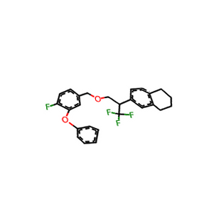 Fc1ccc(COCC(c2ccc3c(c2)CCCC3)C(F)(F)F)cc1Oc1ccccc1